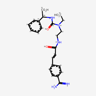 N=C(N)c1ccc(/C=C/C(=O)NCCN(CC(=O)O)C(=O)NC(C(=O)O)c2ccccc2)cc1